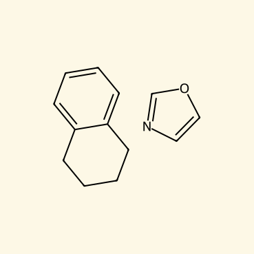 c1ccc2c(c1)CCCC2.c1cocn1